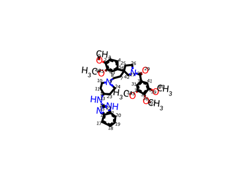 COc1ccc(C2(CCN3CCC(Nc4nc5ccccc5[nH]4)CC3)CCN(C(=O)c3cc(OC)c(OC)c(OC)c3)C2)cc1OC